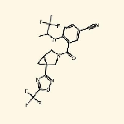 CC(Oc1ccc(C#N)cc1C(=O)N1CC2CC2(c2noc(C(F)(F)F)n2)C1)C(C)(F)F